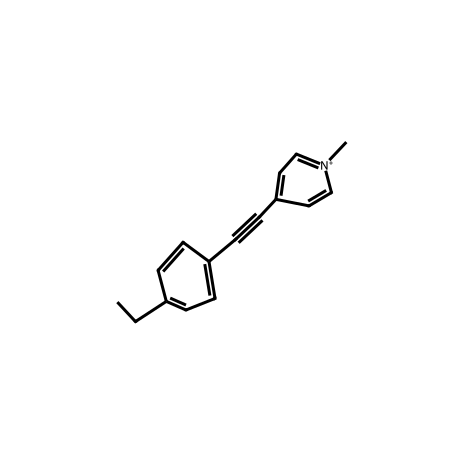 CCc1ccc(C#Cc2cc[n+](C)cc2)cc1